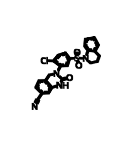 N#Cc1ccc2c(c1)NC(=O)N(c1cc(S(=O)(=O)N3CCCc4ccccc43)ccc1Cl)C2